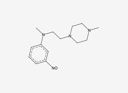 CN1CCN(CCN(C)c2cccc(N=O)c2)CC1